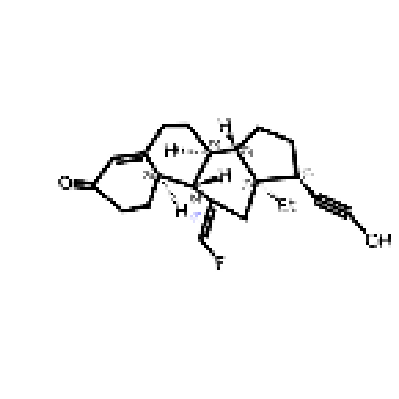 CC[C@]12C/C(=C\F)[C@H]3[C@@H](CCC4=CC(=O)CC[C@@H]43)[C@@H]1CC[C@H]2C#CO